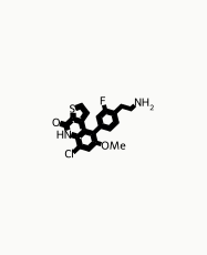 COc1cc(Cl)c2[nH]c(=O)c3sccc3c2c1-c1ccc(CCN)c(F)c1